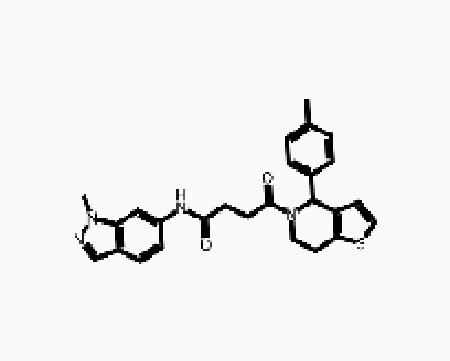 Cc1ccc(C2c3ccsc3CCN2C(=O)CCC(=O)Nc2ccc3cnn(C)c3c2)cc1